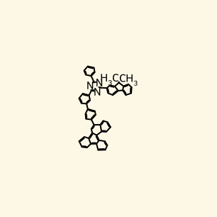 CC1(C)c2ccccc2-c2ccc(-c3nc(-c4ccccc4)nc(-c4cccc(-c5ccc(-c6cc7c8ccccc8c8ccccc8c7c7ccccc67)cc5)c4)n3)cc21